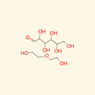 O=CC(O)C(O)C(O)C(O)CO.OCCOCCO